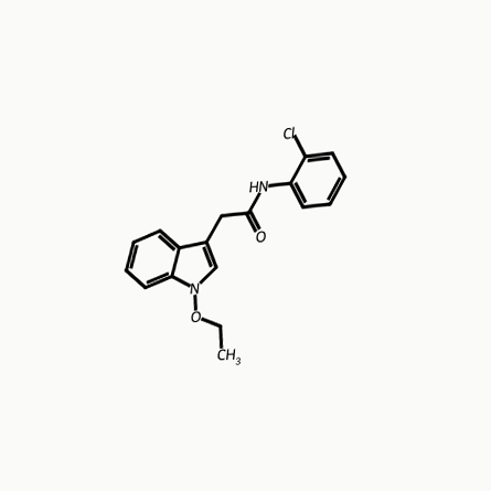 CCOn1cc(CC(=O)Nc2ccccc2Cl)c2ccccc21